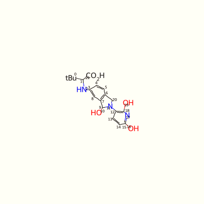 CC(C)(C)C(Nc1ccc2c(c1)C(O)N(c1ccc(O)nc1O)C2)C(=O)O